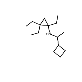 CCC1(CC)CC1(CC)NC(C)C1CCC1